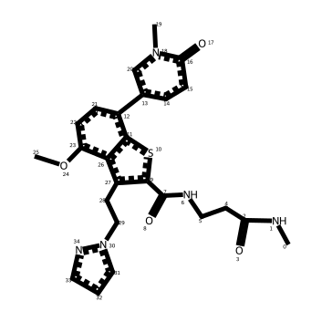 CNC(=O)CCNC(=O)c1sc2c(-c3ccc(=O)n(C)c3)ccc(OC)c2c1CCn1cccn1